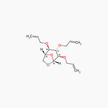 C=CCO[C@@H]1[C@@H](OCC=C)[C@@H]2OC[C@@H](O2)[C@H]1OCC=C